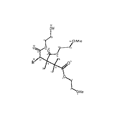 COCCOC(=O)C(C)(C)C(C)(C(=O)OCCOC)C(Br)C(=O)OCCO